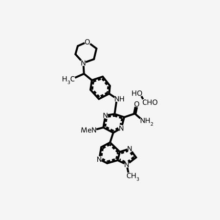 CNc1nc(Nc2ccc(C(C)N3CCOCC3)cc2)c(C(N)=O)nc1-c1cncc2c1ncn2C.O=CO